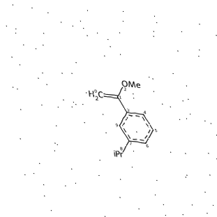 C=C(OC)c1cccc(C(C)C)c1